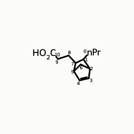 CCCC1C2C=CC(C2)C1CCC(=O)O